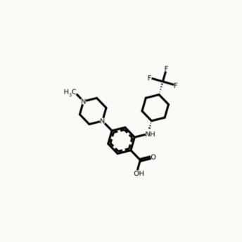 CN1CCN(c2ccc(C(=O)O)c(N[C@H]3CC[C@@H](C(F)(F)F)CC3)c2)CC1